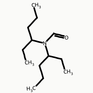 CCCC(CC)N([C]=O)C(CC)CCC